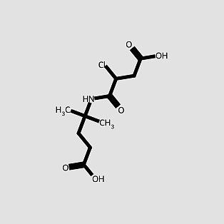 CC(C)(CCC(=O)O)NC(=O)C(Cl)CC(=O)O